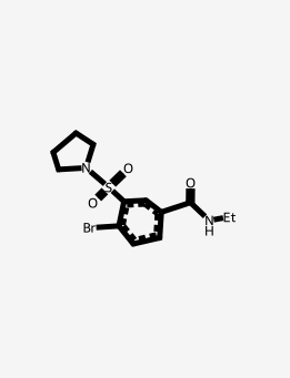 CCNC(=O)c1ccc(Br)c(S(=O)(=O)N2CCCC2)c1